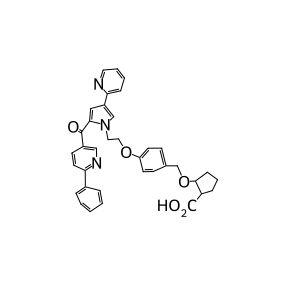 O=C(c1ccc(-c2ccccc2)nc1)c1cc(-c2ccccn2)cn1CCOc1ccc(COC2CCCC2C(=O)O)cc1